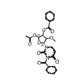 COC1C(OC(=O)c2ccccc2)[C@H](OC(C)=O)O[C@H]1n1ccc(=O)n(C(=O)c2ccccc2)c1=O